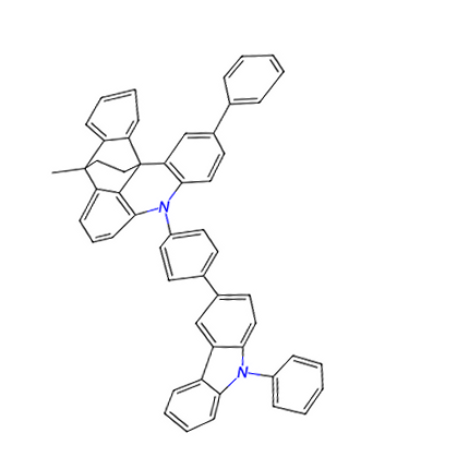 CC12CCC3(c4cc(-c5ccccc5)ccc4N(c4ccc(-c5ccc6c(c5)c5ccccc5n6-c5ccccc5)cc4)c4cccc1c43)c1ccccc12